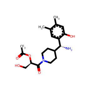 Cc1cc(O)c([C@H](N)C2CCN(C(=O)[C@@H](CO)OC(=O)C(F)(F)F)CC2)cc1C